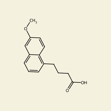 COc1ccc2c(CCCC(=O)O)cccc2c1